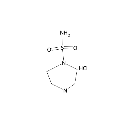 CN1CCN(S(N)(=O)=O)CC1.Cl